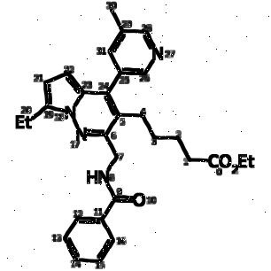 CCOC(=O)CCCCc1c(CNC(=O)c2ccccc2)nn2c(CC)ccc2c1-c1cncc(C)c1